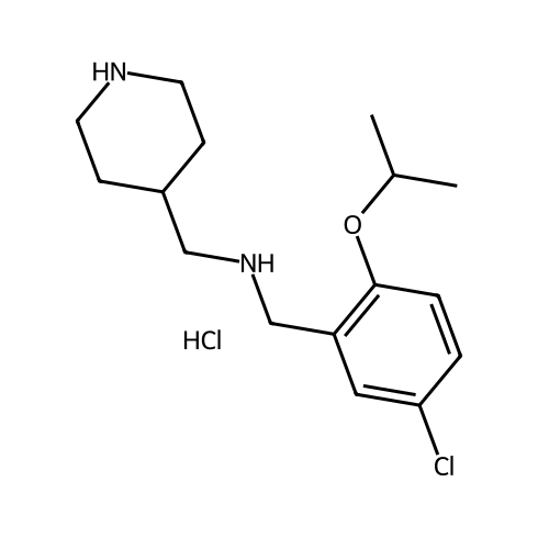 CC(C)Oc1ccc(Cl)cc1CNCC1CCNCC1.Cl